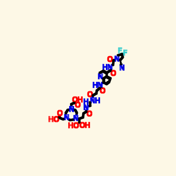 N#C[C@@H]1CC(F)(F)CN1C(=O)CNC(=O)c1ccnc2c(NC(=O)CCC(=O)NCCNC(=O)CCC(C(O)O)N3CCN(CC(=O)O)CCN(CC(=O)O)CC3)cccc12